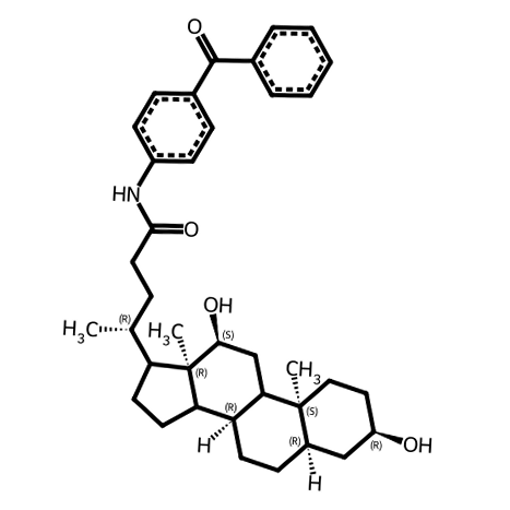 C[C@H](CCC(=O)Nc1ccc(C(=O)c2ccccc2)cc1)C1CCC2[C@@H]3CC[C@@H]4C[C@H](O)CC[C@]4(C)C3C[C@H](O)[C@@]21C